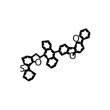 c1ccc2c(c1)oc1c2ccc2oc3cc(-c4c5ccccc5c(C5Cc6ccc7sc8ccccc8c7c6O5)c5ccccc45)ccc3c21